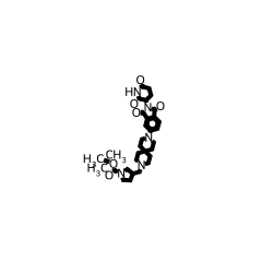 CC(C)(C)OC(=O)N1CCC(CN2CCC3(CC2)CCN(c2ccc4c(c2)C(=O)N(C2CCC(=O)NC2=O)C4=O)CC3)C1